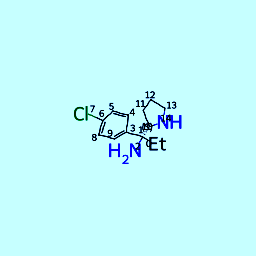 CCC(N)(c1ccc(Cl)cc1)[C@@H]1CCCN1